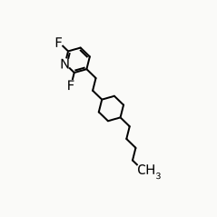 CCCCCC1CCC(CCc2ccc(F)nc2F)CC1